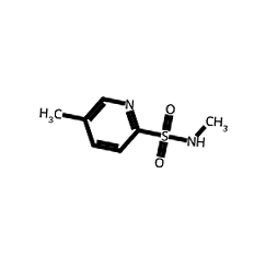 CNS(=O)(=O)c1ccc(C)cn1